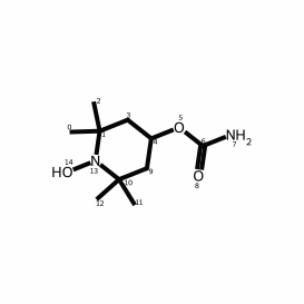 CC1(C)CC(OC(N)=O)CC(C)(C)N1O